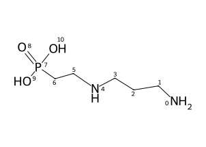 NCCCNCCP(=O)(O)O